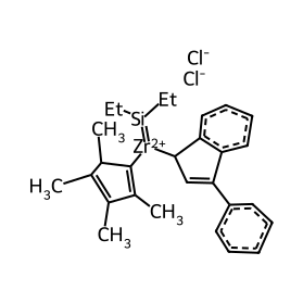 CC[Si](CC)=[Zr+2]([C]1=C(C)C(C)=C(C)C1C)[CH]1C=C(c2ccccc2)c2ccccc21.[Cl-].[Cl-]